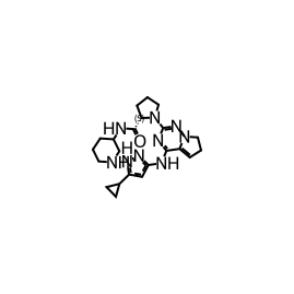 O=C(NC1CCCNC1)[C@@H]1CCCN1C1=NN2CCC=C2C(Nc2cc(C3CC3)[nH]n2)=N1